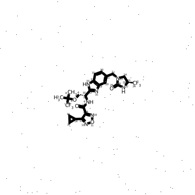 CC(C)(OC[C@@H](NC(=O)c1nonc1C1CC1)c1nc2cc(CN3C[C@@H](C(F)(F)F)NC3=O)ccc2[nH]1)C(F)(F)F